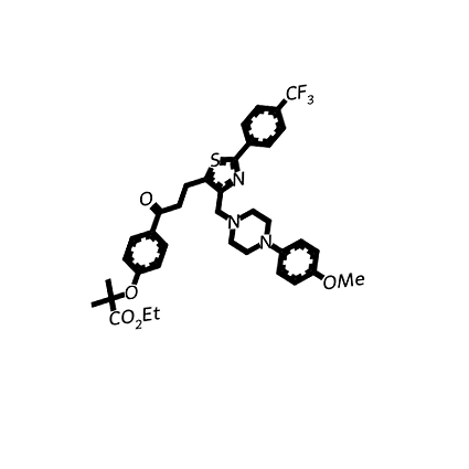 CCOC(=O)C(C)(C)Oc1ccc(C(=O)CCc2sc(-c3ccc(C(F)(F)F)cc3)nc2CN2CCN(c3ccc(OC)cc3)CC2)cc1